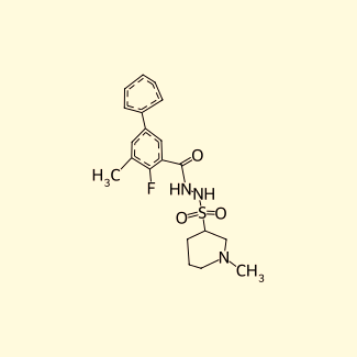 Cc1cc(-c2ccccc2)cc(C(=O)NNS(=O)(=O)C2CCCN(C)C2)c1F